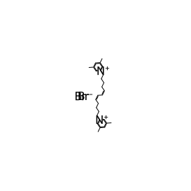 Cc1cc(C)c[n+](CCCC/C=C\C=C/CCCC[n+]2cc(C)cc(C)c2)c1.[Br-].[Br-]